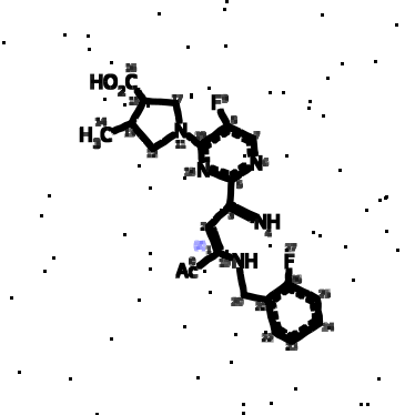 CC(=O)/C(=C/C(=N)c1ncc(F)c(N2CC(C)C(C(=O)O)C2)n1)NCc1ccccc1F